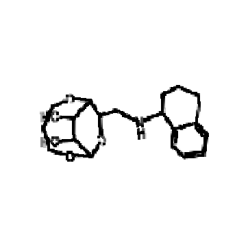 OC1C2OCCCOC(C(CNC3CCCc4ccccc43)O2)C1O